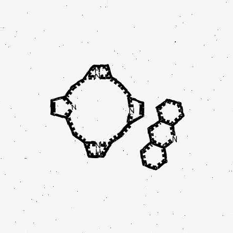 C1=Cc2cc3ccc(cc4nc(cc5ccc(cc1n2)[nH]5)C=C4)[nH]3.c1ccc2nc3ccccc3cc2c1